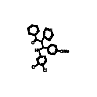 COc1ccc(C(Nc2ccc(Cl)c(Cl)c2)C(C(=O)c2ccccc2)c2ccncc2)cc1